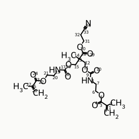 C=C(C)C(=O)OCCNC(=O)OCC(C)(COC(=O)NCCOC(=O)C(=C)C)C(=O)OCCC#N